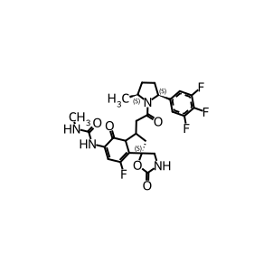 CNC(=O)NC1=CC(F)=C2C(C1=O)C(CC(=O)N1[C@@H](C)CC[C@H]1c1cc(F)c(F)c(F)c1)C[C@@]21CNC(=O)O1